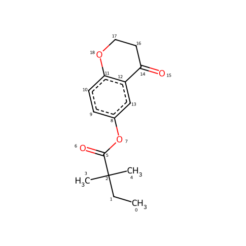 CCC(C)(C)C(=O)Oc1ccc2c(c1)C(=O)CCO2